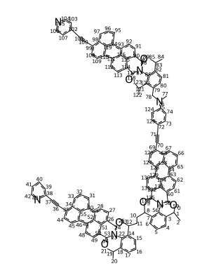 CC(C)c1cccc(C(C)CCC(C)c2cccc(C(C)C)c2N2C(=O)c3ccc4c5cccc6c(C#Cc7ccccn7)ccc(c7ccc(c3c47)C2=O)c65)c1N1C(=O)c2ccc3c4cccc5c(C#Cc6ccc(N(C)Cc7ccc(C(C)C)c(N8C(=O)c9ccc%10c%11cccc%12c(C#Cc%13ccncc%13)ccc(c%13ccc(c9c%10%13)C8=O)c%12%11)c7C(C)C)cc6)ccc(c6ccc(c2c36)C1=O)c54